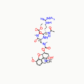 CCOC(=O)CN(C)C(=O)[C@H](CN(C)C(=O)OC1=CCC2(O)[C@H]3Cc4ccc(OC)c5c4[C@@]2(CCN3C)C1O5)NC(=O)[C@H](CCCNC(=N)N)NC(C)=O